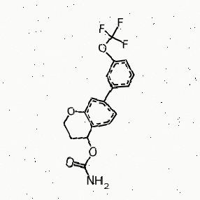 NC(=O)OC1CCOc2cc(-c3cccc(OC(F)(F)F)c3)ccc21